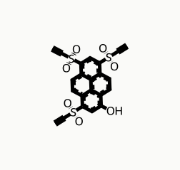 C#CS(=O)(=O)c1cc(O)c2ccc3c(S(=O)(=O)C#C)cc(S(=O)(=O)C#C)c4ccc1c2c34